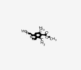 CCOC(=O)c1c(C)cc2c(C=NO)nncc2c1C